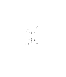 C=CCOC(=O)C(C)(COC(=O)C=C)COC(=O)C=C